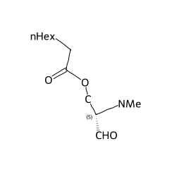 CCCCCCCC(=O)OC[C@@H](C=O)NC